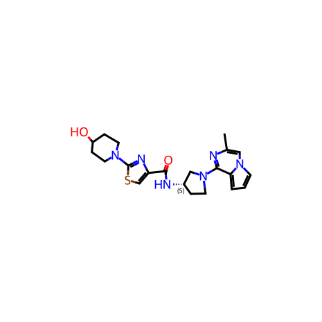 Cc1cn2cccc2c(N2CC[C@H](NC(=O)c3csc(N4CCC(O)CC4)n3)C2)n1